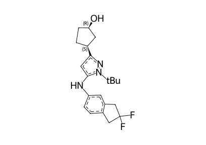 CC(C)(C)n1nc([C@H]2CC[C@@H](O)C2)cc1Nc1ccc2c(c1)CC(F)(F)C2